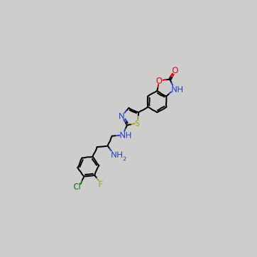 NC(CNc1ncc(-c2ccc3[nH]c(=O)oc3c2)s1)Cc1ccc(Cl)c(F)c1